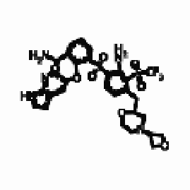 NC(=O)c1cccc(S(=O)(=O)c2ccc(CC3CN(C4COC4)CCO3)c(S(=O)(=O)C(F)(F)F)c2N)c1Oc1cnc2[nH]ccc2c1